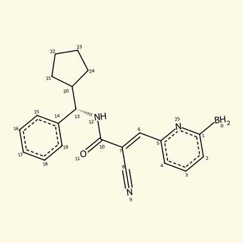 Bc1cccc(/C=C(\C#N)C(=O)N[C@H](c2ccccc2)C2CCCC2)n1